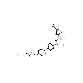 C=CC(=O)NCc1ccc(-c2ccc([C@H](C)C(=O)Nc3cc(C4CC4)[nH]n3)cc2)nc1